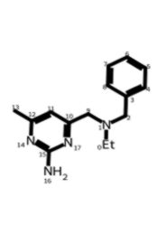 CCN(Cc1ccccc1)Cc1cc(C)nc(N)n1